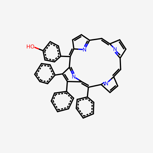 Oc1ccc(C2=C3C=CC(=N3)C=C3C=CC(=N3)C=C3C=CC(=N3)C(c3ccccc3)=C3N=C2C(c2ccccc2)=C3c2ccccc2)cc1